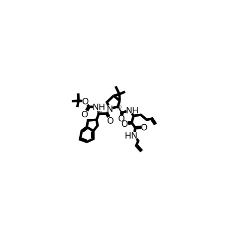 C=CCCC(NC(=O)[C@@H]1C2C(CN1C(=O)[C@@H](NC(=O)OC(C)(C)C)C1Cc3ccccc3C1)C2(C)C)C(=O)C(=O)NCC=C